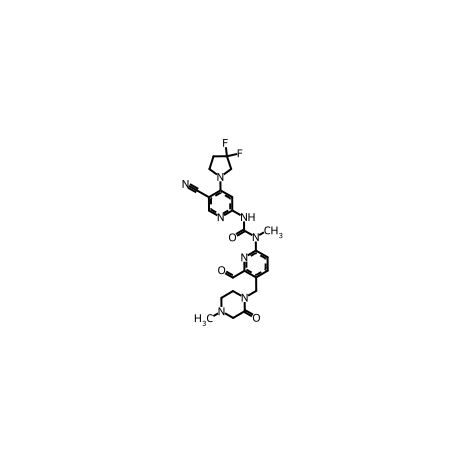 CN1CCN(Cc2ccc(N(C)C(=O)Nc3cc(N4CCC(F)(F)C4)c(C#N)cn3)nc2C=O)C(=O)C1